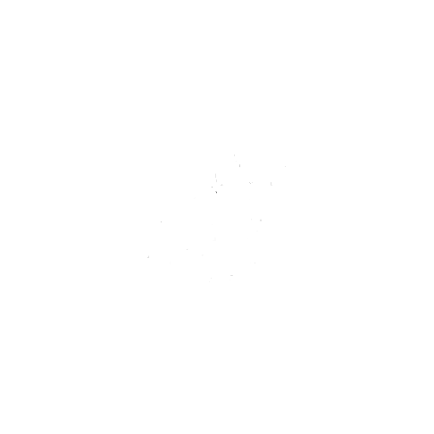 CCOC(=O)C(=O)c1[nH]cc(-c2ccccc2)c1-c1ccccc1